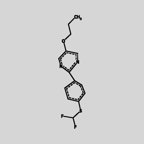 CCCOc1cnc(-c2ccc(SC(F)F)cc2)nc1